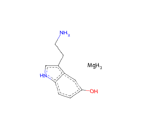 NCCc1c[nH]c2ccc(O)cc12.[MgH2]